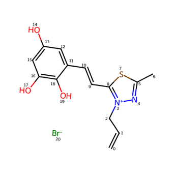 C=CC[n+]1nc(C)sc1/C=C/c1cc(O)cc(O)c1O.[Br-]